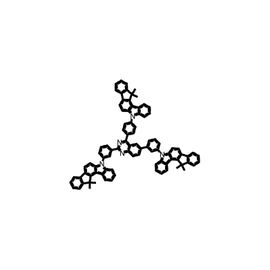 CC1(C)c2ccccc2-c2ccc3c(c21)c1ccccc1n3-c1ccc(-c2nc(-c3cccc(-n4c5ccccc5c5c6c(ccc54)-c4ccccc4C6(C)C)c3)nc3ccc(-c4cccc(-n5c6ccccc6c6c7c(ccc65)-c5ccccc5C7(C)C)c4)cc23)cc1